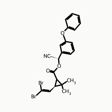 CC1(C)C(C(=O)O[C@H](C#N)c2cccc(Oc3ccccc3)c2)[C@@H]1C=C(Br)Br